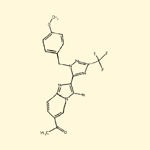 COc1ccc(Cn2nc(C(F)(F)F)nc2-c2nc3ccc(C(C)=O)cn3c2Br)cc1